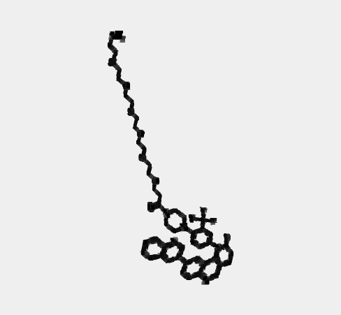 NCCOCCOCCOCCOCCOCCOCCC(=O)N1CCN(c2ccc(-n3c(=O)ccc4cnc5ccc(-c6cnc7ccccc7c6)cc5c43)cc2C(F)(F)F)CC1